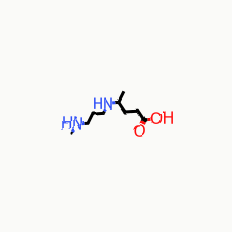 CNCCCNC(C)CCC(=O)O